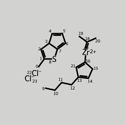 CC1=CC2C=CC=C2S1.CCCCC1=CC[C]([Zr+2]=[C](C)C)=C1.[Cl-].[Cl-]